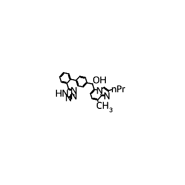 CCCc1cn2c(C(O)c3ccc(-c4ccccc4-c4nnn[nH]4)cc3)ccc(C)c2n1